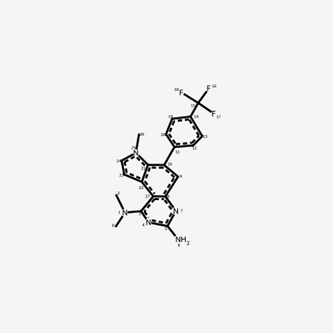 CN(C)c1nc(N)nc2cc(-c3ccc(C(F)(F)F)cc3)c3c(ccn3C)c12